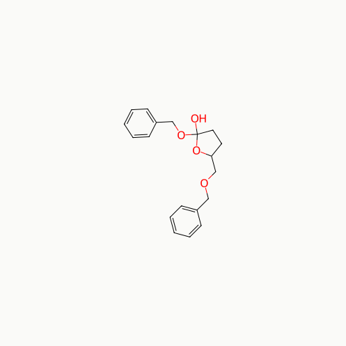 OC1(OCc2ccccc2)CCC(COCc2ccccc2)O1